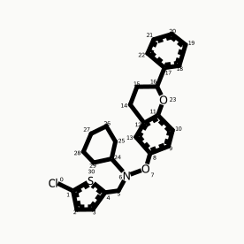 Clc1ccc(CN(Oc2ccc3c(c2)CCC(c2ccccc2)O3)C2CCCCC2)s1